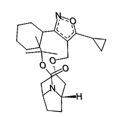 CC(C)(C)OC(=O)N1C2CC[C@H]1C[C@@H](OCc1c(C3CCCCC3)noc1C1CC1)C2